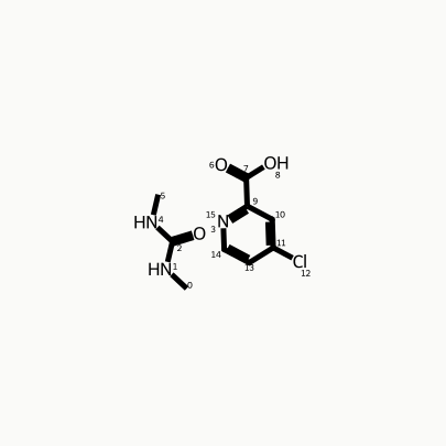 CNC(=O)NC.O=C(O)c1cc(Cl)ccn1